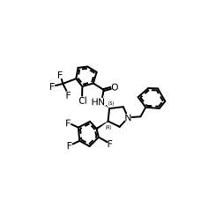 O=C(N[C@@H]1CN(Cc2ccccc2)C[C@H]1c1cc(F)c(F)cc1F)c1cccc(C(F)(F)F)c1Cl